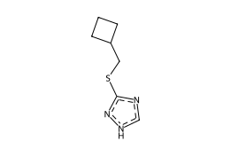 c1nc(SCC2CCC2)n[nH]1